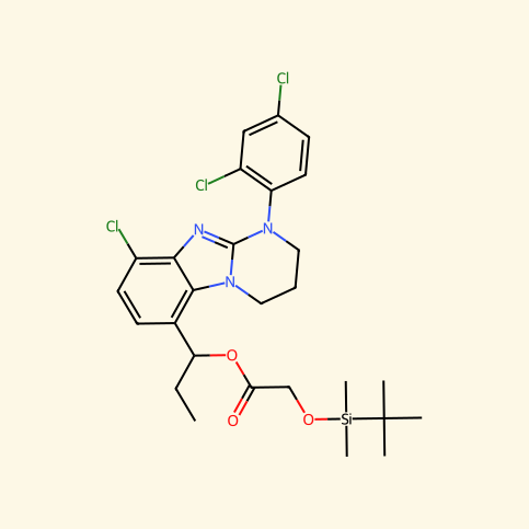 CCC(OC(=O)CO[Si](C)(C)C(C)(C)C)c1ccc(Cl)c2nc3n(c12)CCCN3c1ccc(Cl)cc1Cl